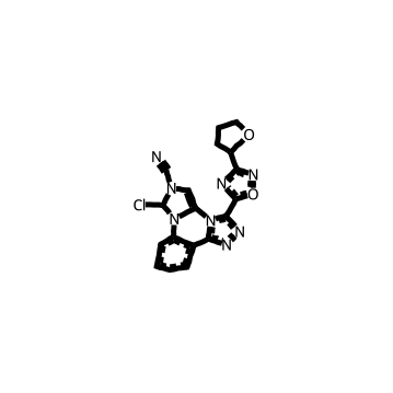 N#CN1C=C2N(c3ccccc3-c3nnc(-c4nc(C5CCCO5)no4)n32)C1Cl